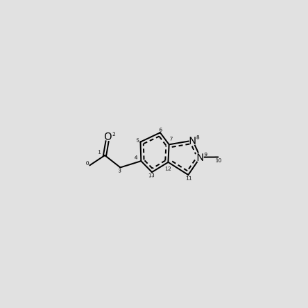 CC(=O)Cc1ccc2nn(C)cc2c1